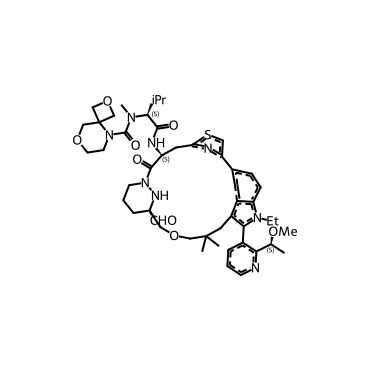 CCn1c(-c2cccnc2[C@H](C)OC)c2c3cc(ccc31)-c1csc(n1)C[C@H](NC(=O)[C@H](C(C)C)N(C)C(=O)N1CCOCC13COC3)C(=O)N1CCCC(C=O)(COCC(C)(C)C2)N1